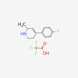 CC1C=C(c2ccc(F)cc2)CCN1.O=C(O)C(F)(F)F